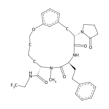 CN1C(=O)[C@H](CCc2ccccc2)NC(=O)[C@@H](N2CCCC2=O)Cc2cccc(c2)OCCCC[C@H]1C(=O)NCC(F)(F)F